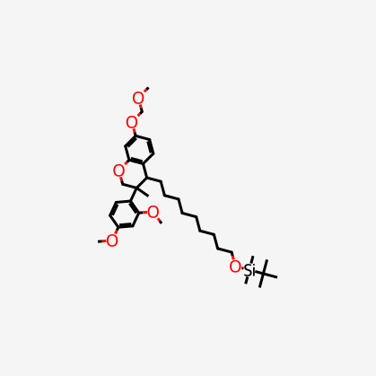 COCOc1ccc2c(c1)OCC(C)(c1ccc(OC)cc1OC)C2CCCCCCCCCO[Si](C)(C)C(C)(C)C